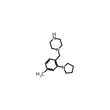 Cc1ccc(CN2CCNCC2)c(N2CCCC2)c1